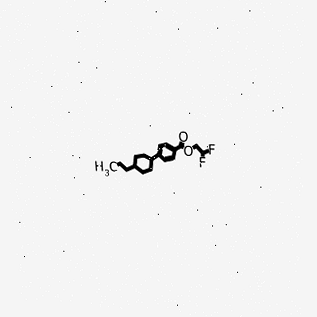 CCCC1CCC(c2ccc(C(=O)OCC(F)F)cc2)CC1